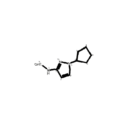 O=CNc1ccn(C2CCCC2)n1